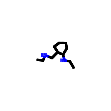 CCNCC1CCCCC1NCC